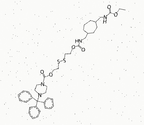 CCOC(=O)NCC1CCCC(CNC(=O)OCCSSCCOC(=O)N2CCN(C(c3ccccc3)(c3ccccc3)c3ccccc3)CC2)CC1